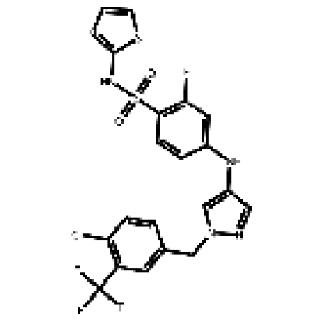 O=S(=O)(Nc1nccs1)c1ccc(Nc2cnn(Cc3ccc(Cl)c(C(F)(F)F)c3)c2)cc1F